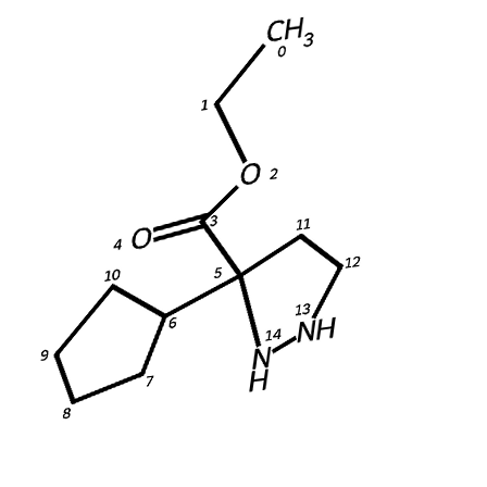 CCOC(=O)C1(C2CCCC2)CCNN1